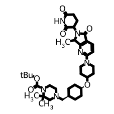 CC1c2nc(N3CCC(O[C@H]4CC[C@H](CN5CCN(C(=O)OC(C)(C)C)C(C)(C)C5)CC4)CC3)ccc2C(=O)N1C1CCC(=O)NC1=O